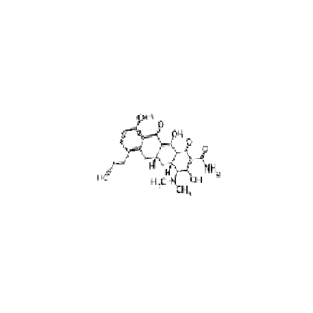 C#C/C=C/c1ccc(O)c2c1C[C@H]1C[C@@H]3C(C(=O)C(C(N)=O)=C(O)[C@H]3N(C)C)C(O)=C1C2=O